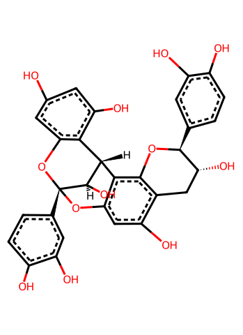 Oc1cc(O)c2c(c1)O[C@@]1(c3ccc(O)c(O)c3)Oc3cc(O)c4c(c3[C@@H]2[C@H]1O)O[C@@H](c1ccc(O)c(O)c1)[C@H](O)C4